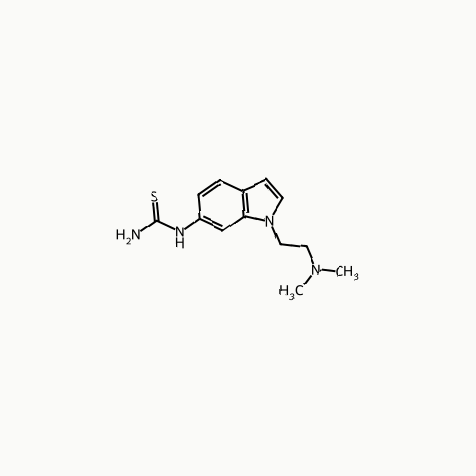 CN(C)CCn1ccc2ccc(NC(N)=S)cc21